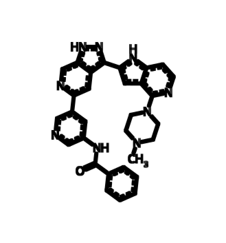 CN1CCN(c2nccc3[nH]c(-c4n[nH]c5cnc(-c6cncc(NC(=O)c7ccccc7)c6)cc45)cc23)CC1